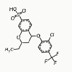 CCC1CC(Oc2ccc(C(F)(F)F)cc2Cl)c2ccc(S(=O)(=O)O)cc2O1